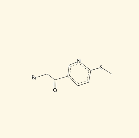 CSc1ccc(C(=O)CBr)cn1